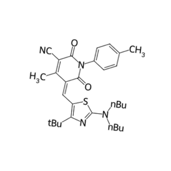 CCCCN(CCCC)c1nc(C(C)(C)C)c(/C=C2\C(=O)N(c3ccc(C)cc3)C(=O)C(C#N)=C2C)s1